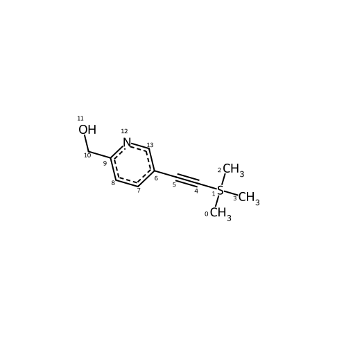 CS(C)(C)C#Cc1ccc(CO)nc1